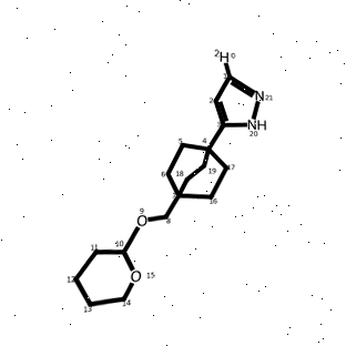 [2H]c1cc(C23CCC(COC4CCCCO4)(CC2)CC3)[nH]n1